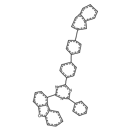 c1ccc(-c2nc(-c3ccc(-c4ccc(-c5ccc6ccccc6c5)cc4)cc3)nc(-c3cccc4oc5ccccc5c34)n2)cc1